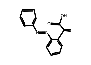 C=C(C(=O)O)c1ccccc1N=Nc1ccccc1